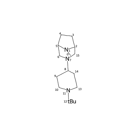 CN1C2CCC1CN(C1CCN(C(C)(C)C)CC1)C2